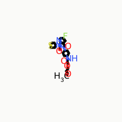 COCCOCC(=O)N[C@H]1CC[C@@H](n2c(=O)c3cc(F)cnc3n(C3CCSCC3)c2=O)CC1